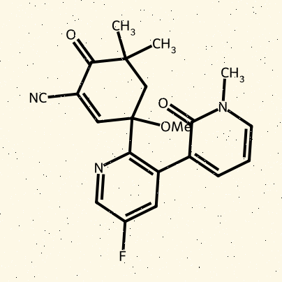 COC1(c2ncc(F)cc2-c2cccn(C)c2=O)C=C(C#N)C(=O)C(C)(C)C1